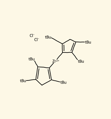 CC(C)(C)C1=[C]([Zr+2][C]2=C(C(C)(C)C)CC(C(C)(C)C)=C2C(C)(C)C)C(C(C)(C)C)=C(C(C)(C)C)C1.[Cl-].[Cl-]